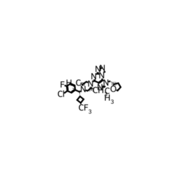 Cc1nc2c(N3C[C@@H](C)N(C(c4ccc(F)c(Cl)c4)[C@H]4C[C@H](C(F)(F)F)C4)C[C@@H]3C)nc3nncn3c2n1C[C@@H]1CCCO1